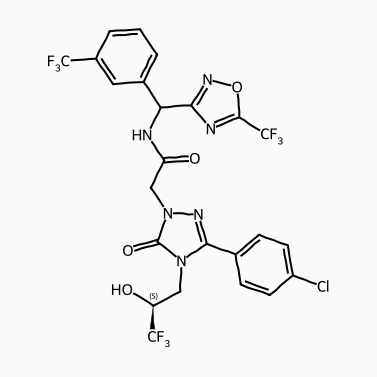 O=C(Cn1nc(-c2ccc(Cl)cc2)n(C[C@H](O)C(F)(F)F)c1=O)NC(c1cccc(C(F)(F)F)c1)c1noc(C(F)(F)F)n1